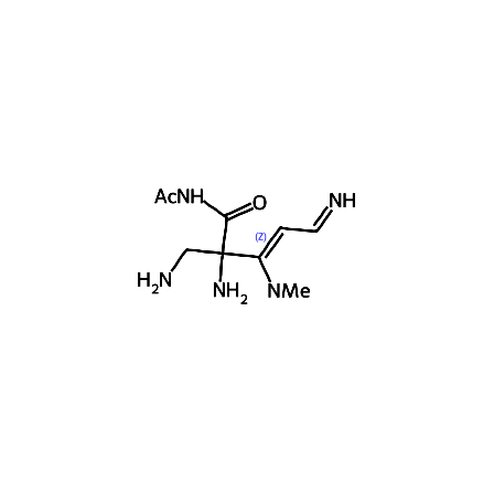 CN/C(=C\C=N)C(N)(CN)C(=O)NC(C)=O